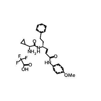 COc1ccc(NC(=O)/C=C/[C@H](CCc2ccccc2)NC(=O)[C@@H](N)C2CC2)cc1.O=C(O)C(F)(F)F